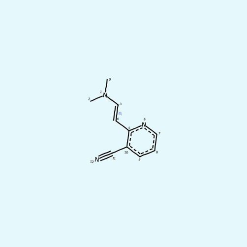 CN(C)/C=C/c1ncccc1C#N